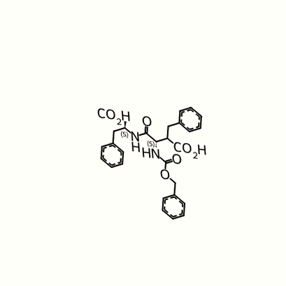 O=C(N[C@H](C(=O)N[C@@H](Cc1ccccc1)C(=O)O)C(Cc1ccccc1)C(=O)O)OCc1ccccc1